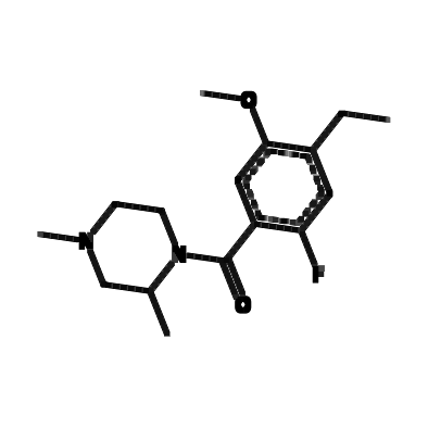 CCc1cc(F)c(C(=O)N2CCN(C)CC2C)cc1OC